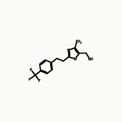 Cc1nc(CCc2ccc(C(F)(F)F)cc2)oc1CO